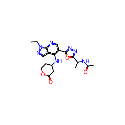 CCn1ncc2c(NC3CCOC(=O)C3)c(-c3nnc(C(C)NC(C)=O)o3)cnc21